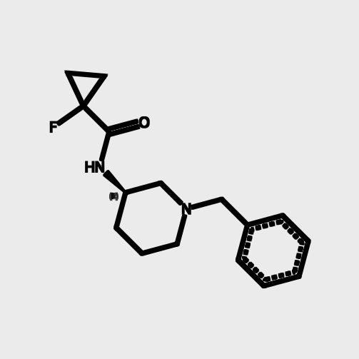 O=C(N[C@@H]1CCCN(Cc2ccccc2)C1)C1(F)CC1